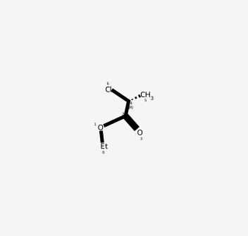 CCOC(=O)[C@@H](C)Cl